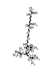 CC(C)(C)C(=O)OCC(COCC(=O)NCCOCCOCCNC(=O)[C@@H](N)CCCCNC(=N)N)(COC(=O)C(C)(C)Br)COC(=O)C(C)(C)Br